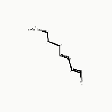 CCCCCCCCC=CC=CCl